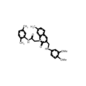 COc1ccc(NCc2cc3ccc(C)cc3n(CC(=O)Nc3cc(C)ccc3C)c2=O)cc1OC